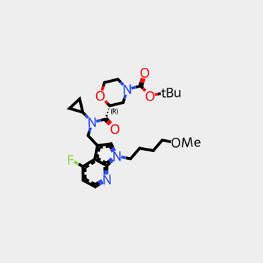 COCCCCn1cc(CN(C(=O)[C@H]2CN(C(=O)OC(C)(C)C)CCO2)C2CC2)c2c(F)ccnc21